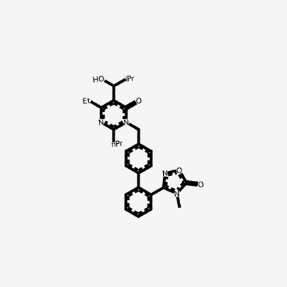 CCCc1nc(CC)c(C(O)C(C)C)c(=O)n1Cc1ccc(-c2ccccc2-c2noc(=O)n2C)cc1